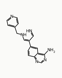 N=C/C(=C\NCc1ccncc1)c1ccc2ncnc(N)c2c1